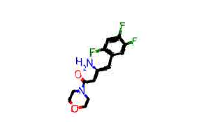 N[C@H](CC(=O)N1CCOCC1)Cc1cc(F)c(F)cc1F